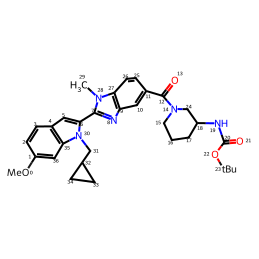 COc1ccc2cc(-c3nc4cc(C(=O)N5CCCC(NC(=O)OC(C)(C)C)C5)ccc4n3C)n(CC3CC3)c2c1